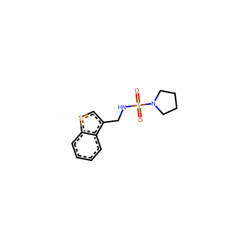 O=S(=O)(NCc1csc2ccccc12)N1CCCC1